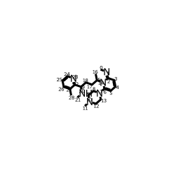 C/N=c1/cccc(N2CCN(C)CC2)n1C(C)CCC(NC)c1ncccc1C